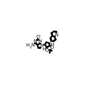 CC1(C)O[C@@H]2[C@H](O1)[C@@H](c1ccc3ncccc3c1)C[C@H]2n1ccc2c(N)nc(Cl)nc21